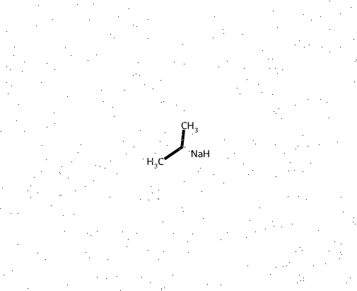 C[CH]C.[NaH]